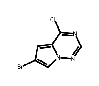 Clc1ncnn2cc(Br)cc12